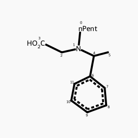 CCCCCN(CC(=O)O)C(C)c1ccccc1